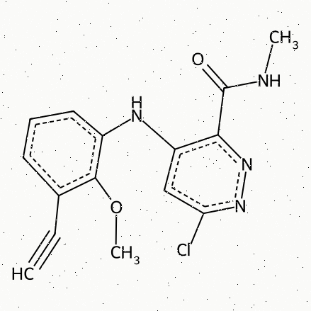 C#Cc1cccc(Nc2cc(Cl)nnc2C(=O)NC)c1OC